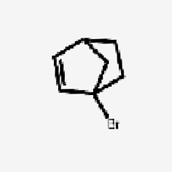 BrC12C=CC(CC1)C2